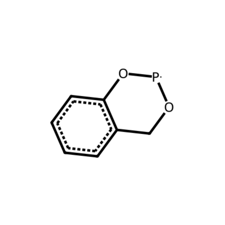 c1ccc2c(c1)CO[P]O2